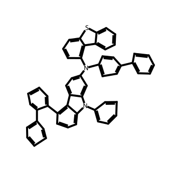 c1ccc(-c2ccc(N(c3ccc4c5c(-c6ccccc6-c6ccccc6)cccc5n(-c5ccccc5)c4c3)c3cccc4sc5ccccc5c34)cc2)cc1